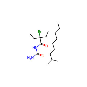 CCC(Br)(CC)C(=O)NC(N)=O.CCCCCCCC(C)C